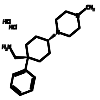 CN1CCN([C@H]2CC[C@@](CN)(c3ccccc3)CC2)CC1.Cl.Cl